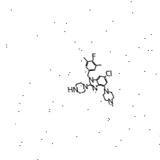 Cc1cc(Cn2c(N3CCNCC3)nc3c(N4CCN(C)CC4)cc(Cl)cc32)cc(C)c1F